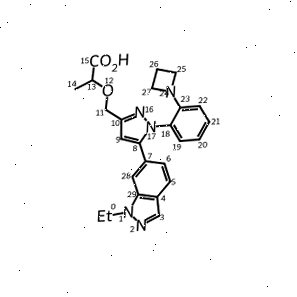 CCn1ncc2ccc(-c3cc(COC(C)C(=O)O)nn3-c3ccccc3N3CCC3)cc21